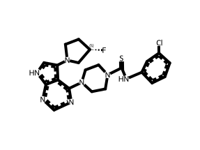 F[C@H]1CCN(c2c[nH]c3ncnc(N4CCN(C(=S)Nc5cccc(Cl)c5)CC4)c23)C1